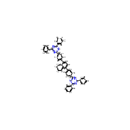 c1ccc(-c2nc(-c3ccccc3)nc(-c3ccc(-c4ccc(-c5ccc(-c6nc(-c7ccccc7)nc(-c7ccccc7)n6)cc5)c5ccccc45)cc3)n2)cc1